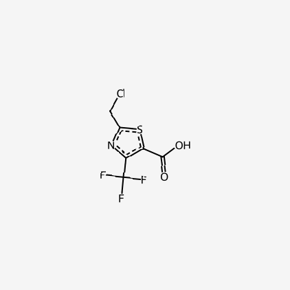 O=C(O)c1sc(CCl)nc1C(F)(F)F